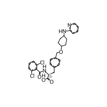 O=C(N[C@@H](Cc1ccc(COC2CCC(Nc3ccccn3)CC2)cc1)C(=O)O)c1c(Cl)cccc1Cl